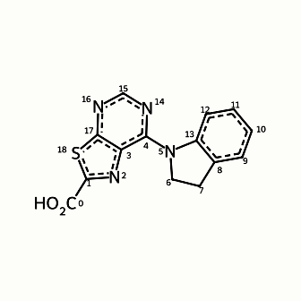 O=C(O)c1nc2c(N3CCc4ccccc43)ncnc2s1